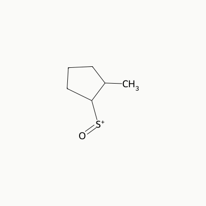 CC1CCCC1[S+]=O